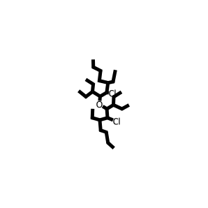 CCCCC(CC)C(Cl)C(OC(C(CC)CC)C(Cl)C(CC)CCCC)C(CC)CC